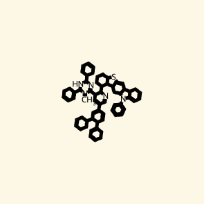 CN1C(C2C=C(C3=CC(C4CC=CCC4)C(C4=CC=CCC4)C=C3)C=NC2C2CCCC3SC4=CC5C6CC=CC=C6N(c6ccccc6)C5CC4C32)=NC(C2C=CC=CC2)NC1C1=CC=CCC1